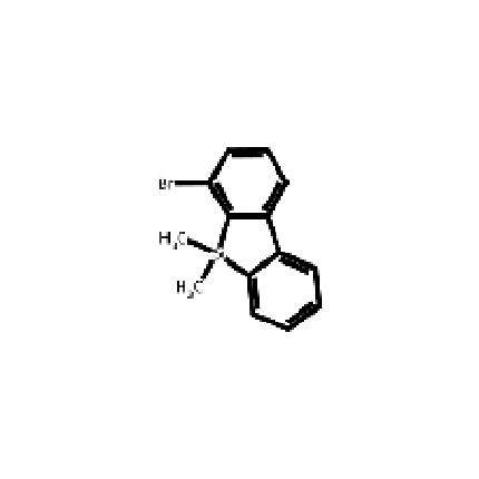 C[Si]1(C)c2ccccc2-c2cccc(Br)c21